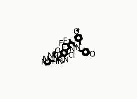 COc1ccc(CN(Cc2ccc(OC)cc2)c2cc(C)c(C(F)(F)F)c(-c3cc4c5c(c3Cl)=NCNC=5N(Cc3ccnnc3N)C=CO4)n2)cc1